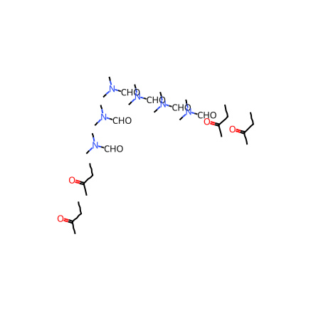 CCC(C)=O.CCC(C)=O.CCC(C)=O.CCC(C)=O.CN(C)C=O.CN(C)C=O.CN(C)C=O.CN(C)C=O.CN(C)C=O.CN(C)C=O